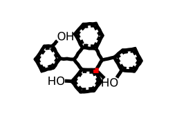 CCC(c1ccccc1O)c1ccccc1C(c1ccccc1O)c1ccccc1O